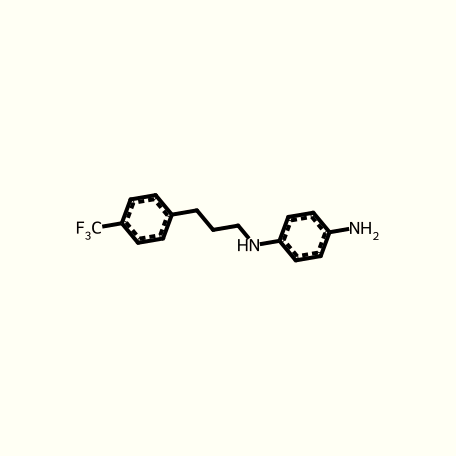 Nc1ccc(NCCCc2ccc(C(F)(F)F)cc2)cc1